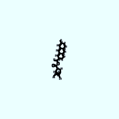 Cc1ccc2cc3ccc(C(C)OC(=O)C4CC5CC4C(C)C5C)cc3cc2c1